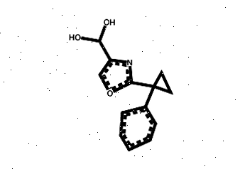 OC(O)c1coc(C2(c3ccccc3)CC2)n1